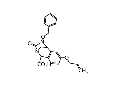 C=CCOc1ccc2c(c1)C1CN(C(=O)N1OCc1ccccc1)C2C(=O)O